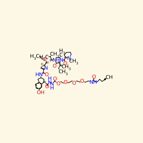 C#CCCCC(=O)NCCOCCOCCOCCOC(=O)NNC(=O)[C@@H]1CC(NC(=O)c2csc([C@@H](C[C@H](C(C)C)N(CCC)C(=O)[C@@H](NC(=O)[C@H]3CCCCN3C)[C@@H](C)CC)OCCC)n2)Cc2ccc(O)cc21